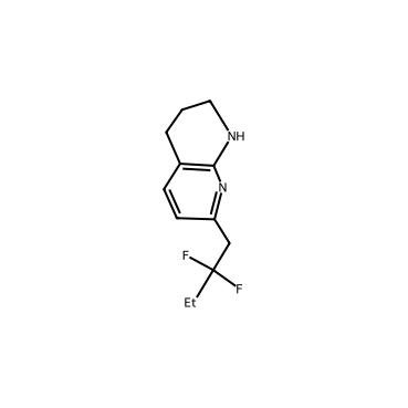 CCC(F)(F)Cc1ccc2c(n1)NCCC2